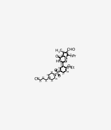 CCCc1c(C=O)c(C)c2c(=O)[nH]c(-c3cc(S(=O)(=O)N4CCN(CCCCl)CC4)ccc3OCC)nn12